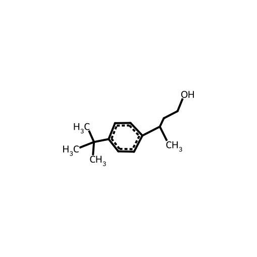 CC(CCO)c1ccc(C(C)(C)C)cc1